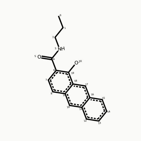 CCCNC(=O)c1ccc2cc3ccccc3cc2c1[O]